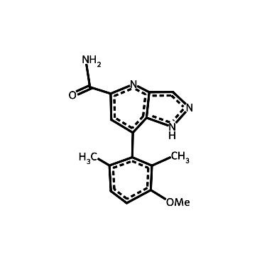 COc1ccc(C)c(-c2cc(C(N)=O)nc3cn[nH]c23)c1C